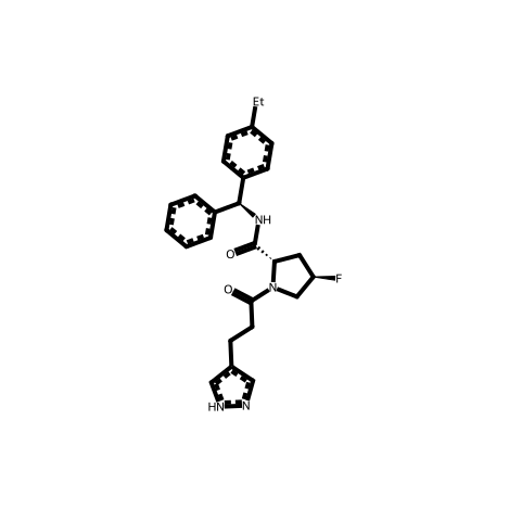 CCc1ccc([C@@H](NC(=O)[C@@H]2C[C@@H](F)CN2C(=O)CCc2cn[nH]c2)c2ccccc2)cc1